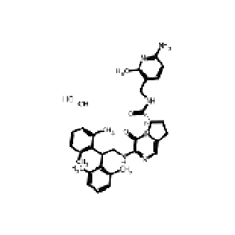 Cc1cccc(C)c1C(CNc1ncc2n(c1=O)[C@H](C(=O)NCc1ccc(N)nc1C)CC2)c1c(C)cccc1C.Cl.Cl